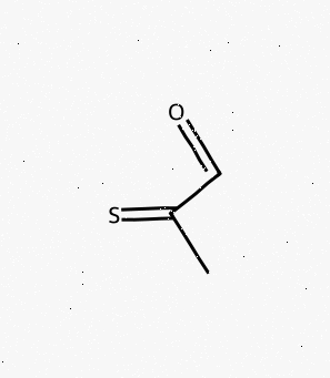 CC(=S)C=O